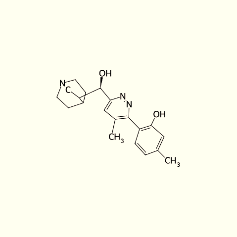 Cc1ccc(-c2nnc([C@H](O)C3CN4CCC3CC4)cc2C)c(O)c1